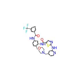 Cc1ccc(NC(=O)c2cccc(C(F)(F)F)c2)cc1NC(=O)c1cnc(Nc2cc(CN3CCOCC3)ccn2)s1